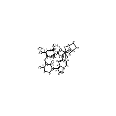 COc1cc(C)ccc1CN1C(=O)CCN(c2cnn3ccc(CN4CC5CCC(C4)N5C(=O)OC(C)(C)C)cc23)C1=O